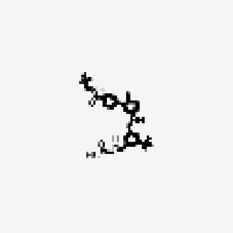 Cc1ccc(NCc2cc(CNCC(=O)O)cc(C(C)(C)C)c2)cc1-c1ccc(C(=O)NCC(C)(C)C)cc1